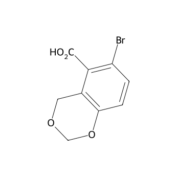 O=C(O)c1c(Br)ccc2c1COCO2